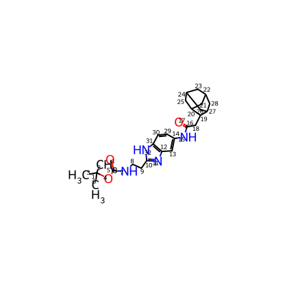 CC(C)(C)OC(=O)NCCc1nc2cc(NC(=O)CC3C4CC5CC(C4)CC3C5)ccc2[nH]1